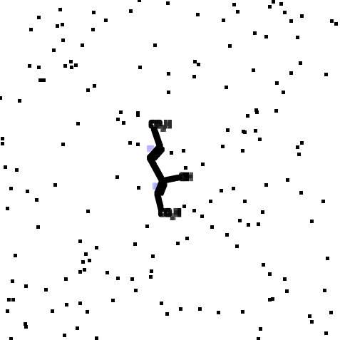 O=C(O)/C=C(O)/C=C/C(=O)O